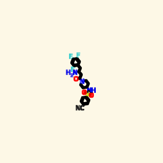 N#Cc1ccc(S(=O)(=O)NC2CCN(C(=O)C[C@H](N)Cc3cc(F)c(F)cc3F)CC2)cc1